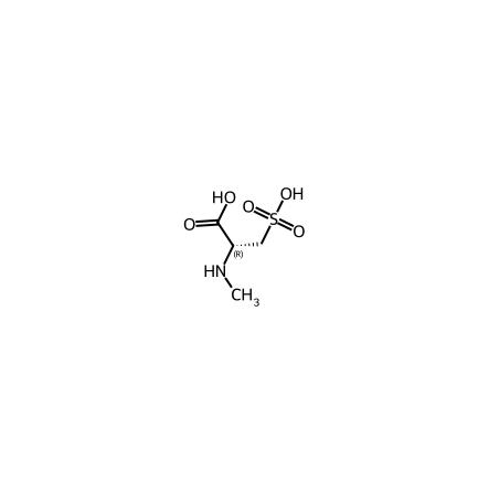 CN[C@@H](CS(=O)(=O)O)C(=O)O